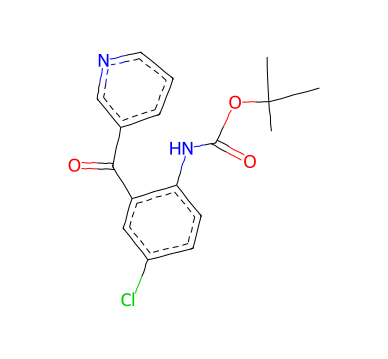 CC(C)(C)OC(=O)Nc1ccc(Cl)cc1C(=O)c1cccnc1